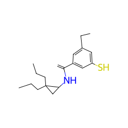 C=C(NC1CC1(CCC)CCC)c1cc(S)cc(CC)c1